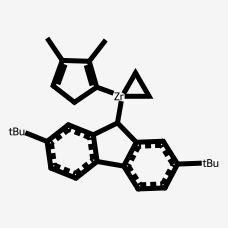 CC1=CC[C]([Zr]2([CH]3c4cc(C(C)(C)C)ccc4-c4ccc(C(C)(C)C)cc43)[CH2][CH2]2)=C1C